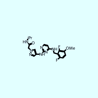 COc1ccc(F)c(CNc2ccnc(Nc3cnn(CC(=O)NC(C)C)c3)n2)c1F